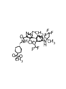 CCn1nc(C(=O)NC[C@H]2CC[C@H](S(C)(=O)=O)CC2)c(Cl)c1-c1cnc(NC(C)(C)CC(F)(F)F)cc1OC(F)F